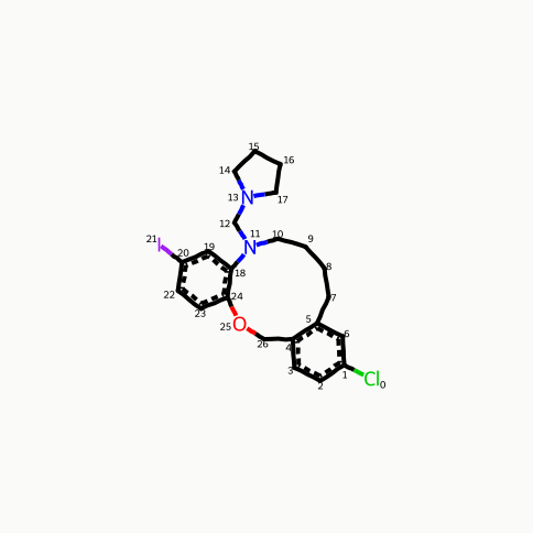 Clc1ccc2c(c1)CCCCN(CN1CCCC1)c1cc(I)ccc1OC2